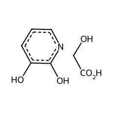 O=C(O)CO.Oc1cccnc1O